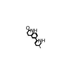 C[C@H]1CC=C(c2ccc3c(c2)CCC(=O)N3)NC1